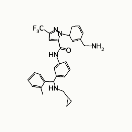 Cc1ccccc1C(NCC1CC1)c1cccc(NC(=O)c2cc(C(F)(F)F)nn2C2C=C(CN)C=CC2)c1